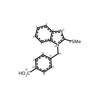 CSc1nc2ccccc2n1Cc1ccc(C(=O)O)cc1